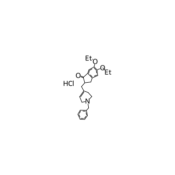 CCOc1cc2c(cc1OCC)C(=O)C(CC1=CCN(Cc3ccccc3)CC1)C2.Cl